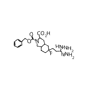 N/N=C(/CCC1(F)CCC2CN(C(=O)OCc3ccccc3)C(C(=O)O)CC2C1)NN